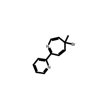 CC1(Br)C=CN=C(c2ccccn2)C=C1